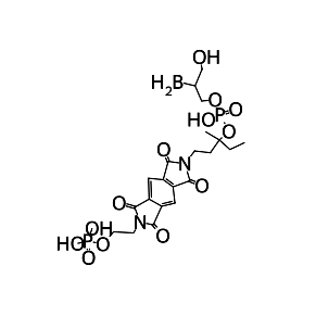 BC(CO)COP(=O)(O)OC(C)(CC)CCn1c(=O)c2cc3c(=O)n(CCOP(=O)(O)O)c(=O)c3cc2c1=O